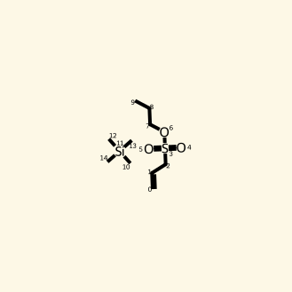 C=CCS(=O)(=O)OCCC.C[Si](C)(C)C